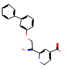 O=C(O)C1=CCNC(/C(COc2cccc(-c3ccccc3)c2)=N/O)=C1